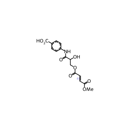 COC(=O)/C=C/C(=O)OCC(O)C(=O)Nc1ccc(C(=O)O)cc1